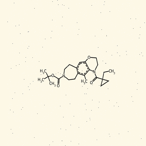 CCC1(C(=O)N2CCOc3cc4c(c(C)c32)CCN(C(=O)OC(C)(C)C)CC4)CC1